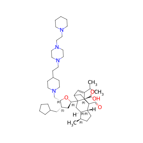 CC(C)C1=CC2CC3(C=O)[C@@H]4CC[C@@H](C)[C@H]4CC2([C@H]2C[C@H](CC4CCCC4)[C@H](CN4CCC(CCN5CCN(CCN6CCCCC6)CC5)CC4)O2)[C@]13C(=O)O